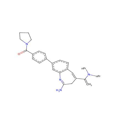 C=C(C1=Cc2ccc(-c3ccc(C(=O)N4CCCC4)cc3)cc2N=C(N)C1)N(CCC)CCC